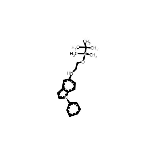 CC(C)(C)[Si](C)(C)OCCNc1ccc2c(ccn2-c2ccccc2)c1